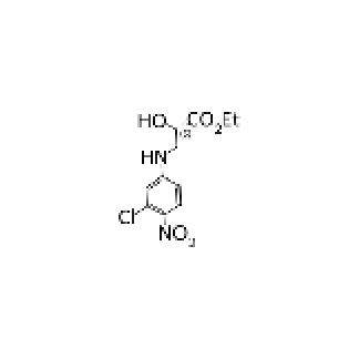 CCOC(=O)[C@@H](O)CNc1ccc([N+](=O)[O-])c(Cl)c1